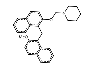 COc1ccc2ccccc2c1Cc1c(OCN2CCCCC2)ccc2ccccc12